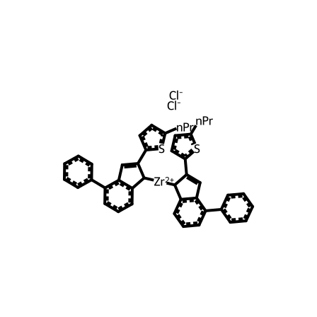 CCCc1ccc(C2=Cc3c(-c4ccccc4)cccc3[CH]2[Zr+2][CH]2C(c3ccc(CCC)s3)=Cc3c(-c4ccccc4)cccc32)s1.[Cl-].[Cl-]